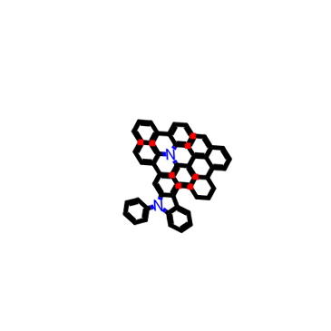 c1ccc(-c2ccccc2N(c2ccccc2-c2ccc3c4ccccc4n(-c4ccccc4)c3c2)c2ccccc2-c2cccc3cccc(C4CCCCC4)c23)cc1